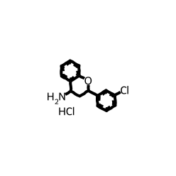 Cl.NC1CC(c2cccc(Cl)c2)Oc2ccccc21